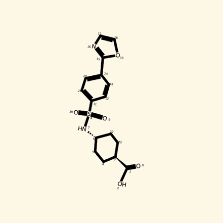 O=C(O)[C@H]1CC[C@H](NS(=O)(=O)c2ccc(-c3ncco3)cc2)CC1